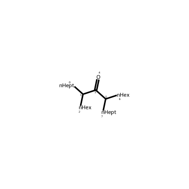 CCCCCCCC(CCCCCC)C(=O)C(CCCCCC)CCCCCCC